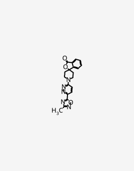 Cc1noc(-c2ccc(N3CCC4(CC3)OC(=O)c3ccccc34)nn2)n1